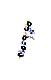 Cc1cc(N2CCN(c3ccc(C(=O)Nc4ccc(F)cn4)cc3)CC2)ccc1OC[C@@H]1CO[C@@](Cn2cncn2)(c2ccc(F)cc2F)C1